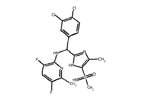 Cc1nc(NC(c2ccc(Cl)c(Cl)c2)c2nc(C)c(S(C)(=N)=O)[nH]2)c(F)cc1F